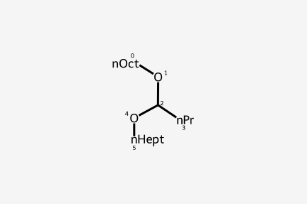 CCCCCCCCOC(CCC)OCCCCCCC